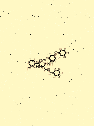 Cc1ccc(C(=O)NC(COCc2ccccc2)C(=O)Nc2ccc(Oc3ccccc3)cc2)cc1F